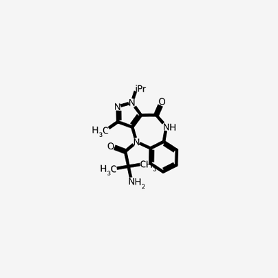 Cc1nn(C(C)C)c2c1N(C(=O)C(C)(C)N)c1ccccc1NC2=O